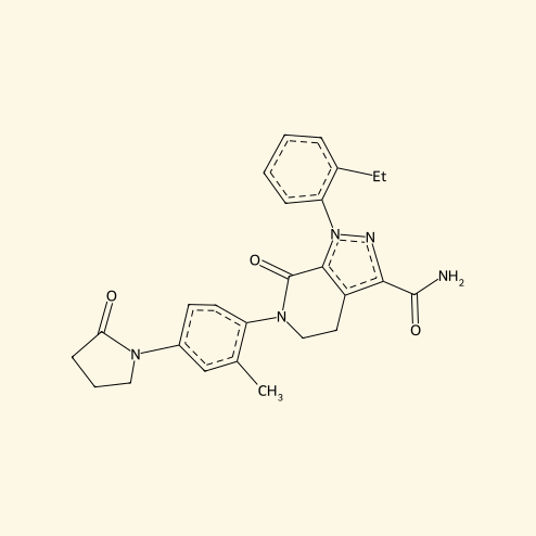 CCc1ccccc1-n1nc(C(N)=O)c2c1C(=O)N(c1ccc(N3CCCC3=O)cc1C)CC2